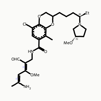 CC[C@H](CCCC1COc2c(Cl)cc(C(=O)NC/C(C=O)=C(/C=C(/C)N)OC)c(C)c2O1)N1CC[C@H](OC)C1